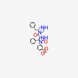 CS(=O)(=O)c1cccc(-n2c(-c3ccccc3)c(C(=O)N3CCNCC3Cc3ccccc3)[nH]c2=O)c1